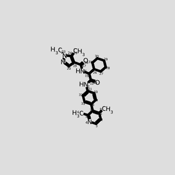 Cc1ccnc(C)c1-c1ccc(NC(=O)C(NC(=O)c2cnn(C)c2C)C2CCCCC2)cc1